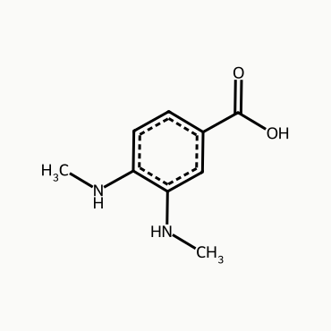 CNc1ccc(C(=O)O)cc1NC